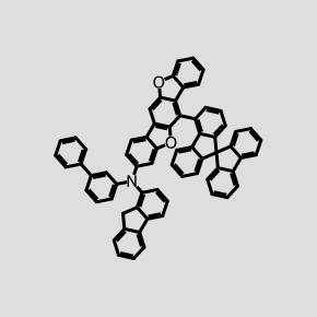 c1ccc(-c2cccc(N(c3ccc4c(c3)oc3c(-c5cccc6c5-c5ccccc5C65c6ccccc6-c6ccccc65)c5c(cc34)oc3ccccc35)c3cccc4c3Cc3ccccc3-4)c2)cc1